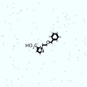 O=C(O)c1ccnn1CCOCc1ccccc1